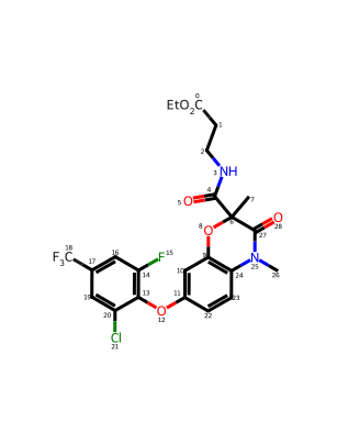 CCOC(=O)CCNC(=O)C1(C)Oc2cc(Oc3c(F)cc(C(F)(F)F)cc3Cl)ccc2N(C)C1=O